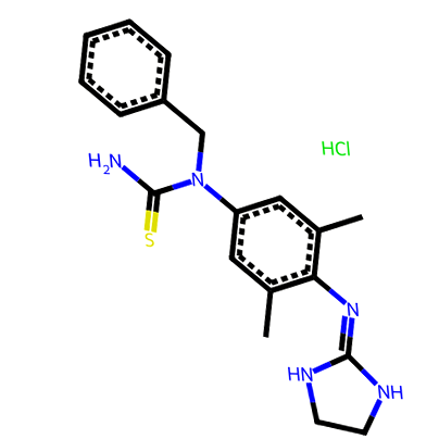 Cc1cc(N(Cc2ccccc2)C(N)=S)cc(C)c1N=C1NCCN1.Cl